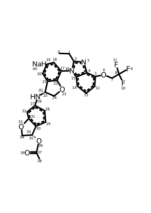 CCc1nc2c(OCC(F)(F)F)cccc2n1-c1cccc2c1OC[C@H]2Nc1ccc2c(c1)OC[C@H]2OC(C)=O.[NaH]